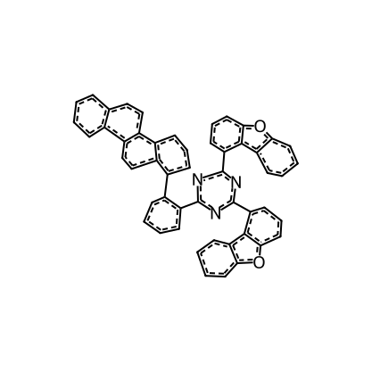 c1ccc(-c2cccc3c2ccc2c4ccccc4ccc32)c(-c2nc(-c3cccc4oc5ccccc5c34)nc(-c3cccc4oc5ccccc5c34)n2)c1